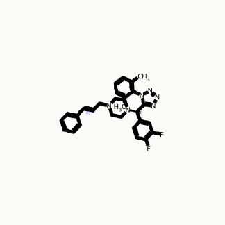 Cc1cccc(C)c1-n1nnnc1[C@@H](c1ccc(F)c(F)c1)N1CCN(C/C=C/c2ccccc2)CC1